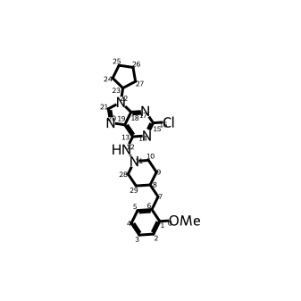 COc1ccccc1CC1CCN(Nc2nc(Cl)nc3c2ncn3C2CCCC2)CC1